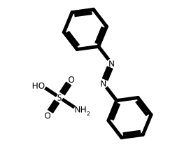 NS(=O)(=O)O.c1ccc(N=Nc2ccccc2)cc1